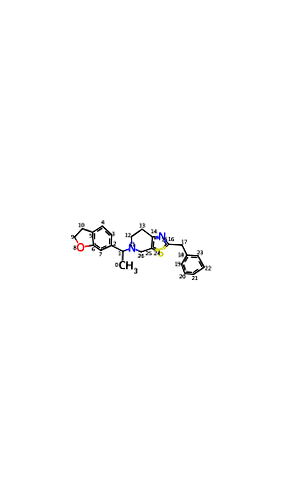 CC(c1ccc2c(c1)OCC2)N1CCc2nc(Cc3ccccc3)sc2C1